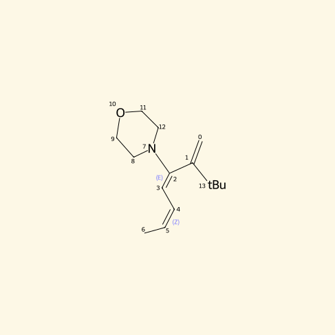 C=C(/C(=C\C=C/C)N1CCOCC1)C(C)(C)C